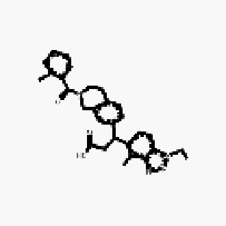 CCn1nnc2c(C)c(C(CC(=O)O)c3ccc4c(c3)CN(C(=O)c3ccccc3C)CC4)ccc21